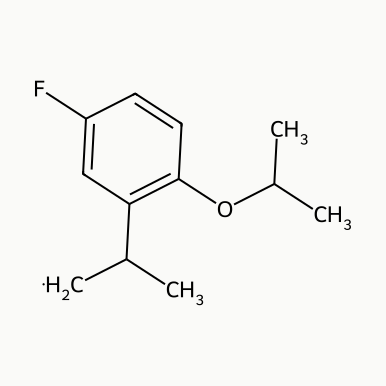 [CH2]C(C)c1cc(F)ccc1OC(C)C